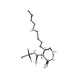 CCCCOCCCC[C@H]1COCC(=O)N1C(=O)OC(C)(C)C